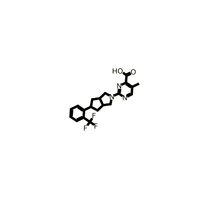 Cc1cnc(N2CC3CC(c4ccccc4C(F)(F)F)CC3C2)nc1C(=O)O